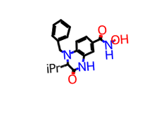 CC(C)C1C(=O)Nc2cc(C(=O)NO)ccc2N1Cc1ccccc1